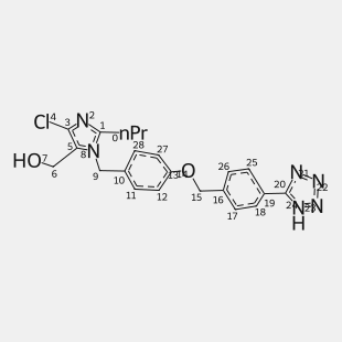 CCCc1nc(Cl)c(CO)n1Cc1ccc(OCc2ccc(-c3nnn[nH]3)cc2)cc1